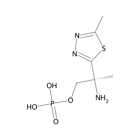 Cc1nnc([C@@](C)(N)COP(=O)(O)O)s1